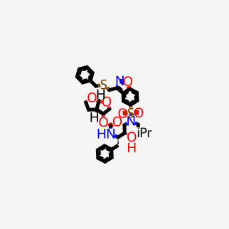 CC(C)CN(C[C@@H](O)[C@H](Cc1ccccc1)NC(=O)OC1CO[C@H]2OCC[C@@H]12)S(=O)(=O)c1ccc2onc(CSCc3ccccc3)c2c1